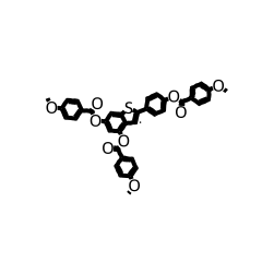 COc1ccc(C(=O)Oc2ccc(-c3[c]c4c(OC(=O)c5ccc(OC)cc5)cc(OC(=O)c5ccc(OC)cc5)cc4s3)cc2)cc1